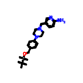 CC(C)(C)[Si](C)(C)OCc1ccc(N2CCN(Cc3ccc(N)nc3)CC2)cc1